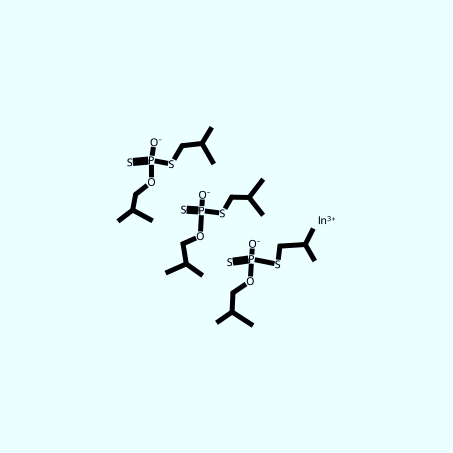 CC(C)COP([O-])(=S)SCC(C)C.CC(C)COP([O-])(=S)SCC(C)C.CC(C)COP([O-])(=S)SCC(C)C.[In+3]